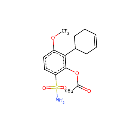 CCCCC(=O)Oc1c(S(N)(=O)=O)ccc(OC(F)(F)F)c1C1CC=CCC1